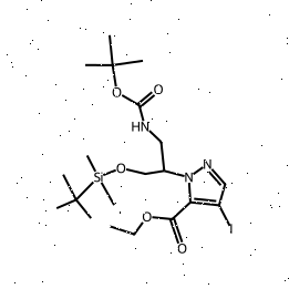 CCOC(=O)c1c(I)cnn1C(CNC(=O)OC(C)(C)C)CO[Si](C)(C)C(C)(C)C